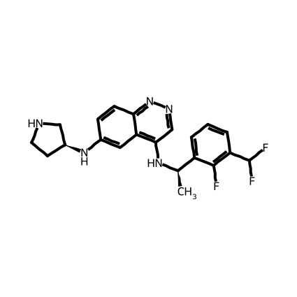 C[C@@H](Nc1cnnc2ccc(N[C@H]3CCNC3)cc12)c1cccc(C(F)F)c1F